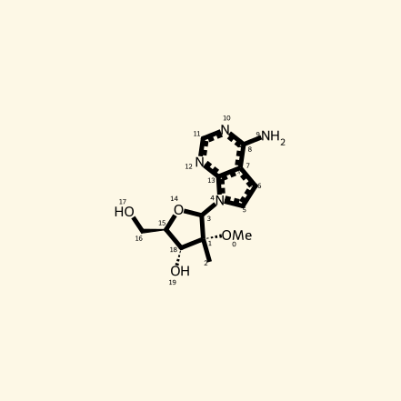 CO[C@@]1(C)C(n2ccc3c(N)ncnc32)O[C@H](CO)[C@H]1O